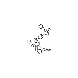 COc1ccccc1Cc1nc2c(c(C(F)(F)F)nn2C2CCN(CCN(C)C(=O)OCc3ccccc3)CC2)c(=O)[nH]1